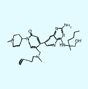 C=CCCN(C)Cc1cn(C2CCN(C)CC2)c(=O)cc1-c1cnc2c(NC(C)(CO)CCCC)nc(N)nc2c1